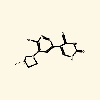 C[C@H]1CCN(c2cc(-c3c[nH]c(=O)[nH]c3=O)nnc2C#N)C1